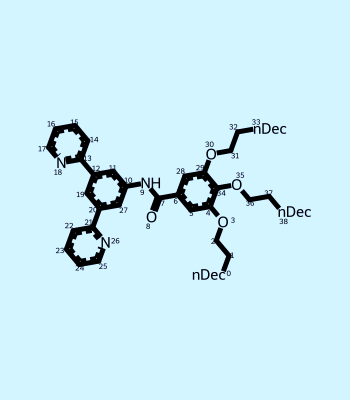 CCCCCCCCCCCCOc1cc(C(=O)Nc2cc(-c3ccccn3)cc(-c3ccccn3)c2)cc(OCCCCCCCCCCCC)c1OCCCCCCCCCCCC